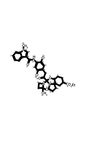 CCOC(=O)C1CCC(OC(C(=O)Cc2cc(Cl)c(NC(=O)c3cn(C)c4ccccc34)cc2Cl)(N2CCCC2)N2CCC2(C)C)CC1